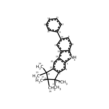 CC1(C)c2cc3[nH]c4ccc(-c5ccccc5)cc4c3cc2C(C)(C)C1(C)C